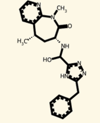 C[C@H]1C[C@@H](NC(O)c2nnc(Cc3ccccc3)[nH]2)C(=O)N(C)c2ncccc21